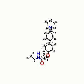 CC(C)CNC(=O)C(C)(C)Oc1ccc(-c2ccc(N3CCCCC3)cc2)cc1